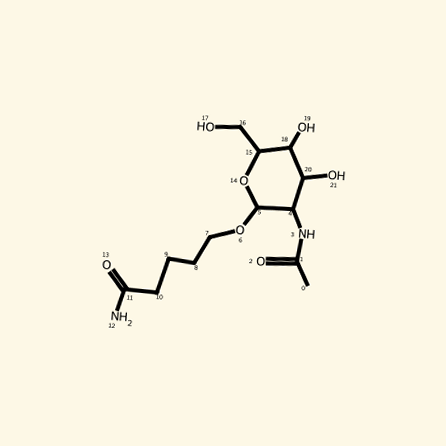 CC(=O)NC1C(OCCCCC(N)=O)OC(CO)C(O)C1O